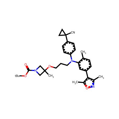 Cc1ccc(-c2c(C)noc2C)cc1N(CCCOC1(C)CN(C(=O)OC(C)(C)C)C1)c1ccc(C2(C#N)CC2)cc1